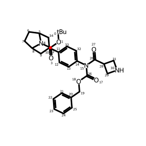 CC(C)(C)OC(=O)N1C2CCC1CC(c1ccc(N(C(=O)OCc3ccccc3)C(=O)C3CNC3)cc1)C2